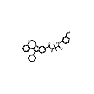 CC(C)(NC(=O)c1ccc2c(C3CCCCC3)c3n(c2c1)CCOc1ccccc1-3)C(=O)Nc1cccc(O)c1